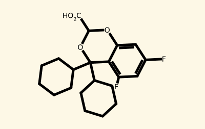 O=C(O)C1Oc2cc(F)cc(F)c2C(C2CCCCC2)(C2CCCCC2)O1